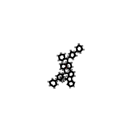 CC1(C)c2ccccc2-c2ccc(-c3ccc(N(c4ccccc4)c4ccc(-c5ccccc5)cc4)cc3)c(N(c3ccccc3)c3ccc(-c4ccccc4)cc3)c21